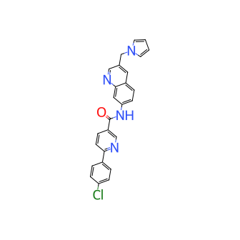 O=C(Nc1ccc2cc(Cn3cccc3)cnc2c1)c1ccc(-c2ccc(Cl)cc2)nc1